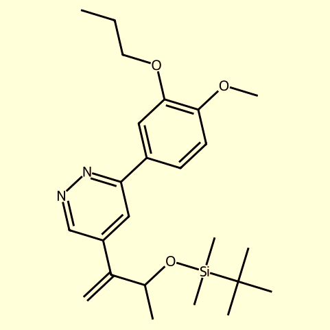 C=C(c1cnnc(-c2ccc(OC)c(OCCC)c2)c1)C(C)O[Si](C)(C)C(C)(C)C